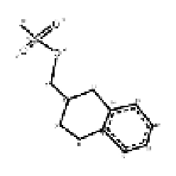 CS(=O)(=O)OCC1CCc2ccccc2C1